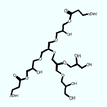 CCCCCCCCCCCCC(=O)OCC(O)COCC(COCC(O)COC(=O)CCCCCCCCCCCC)OCC(COCC(O)CO)OCC(O)CO